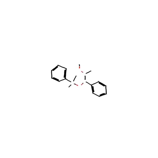 C[SiH](O[SiH3])[SiH](O[Si](C)(C)c1ccccc1)c1ccccc1